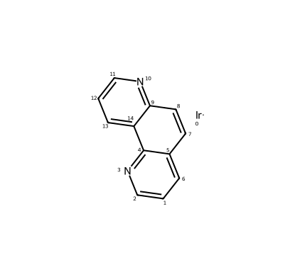 [Ir].c1cnc2c(c1)ccc1ncccc12